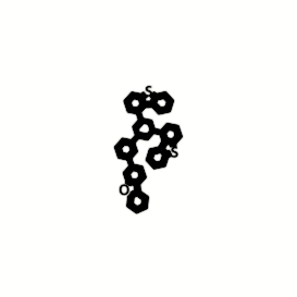 C1=C(c2cccc(-c3ccc4c(c3)oc3ccccc34)c2)C=C(c2cccc3sc4ccccc4c23)CC1c1cccc2sc3ccccc3c12